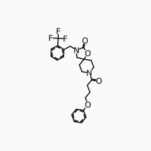 O=C(CCCOc1ccccc1)N1CCC2(CC1)CN(Cc1ccccc1C(F)(F)F)C(=O)O2